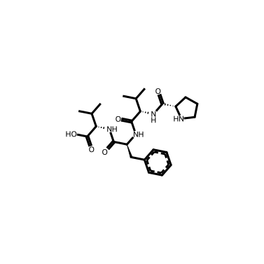 CC(C)[C@H](NC(=O)[C@H](Cc1ccccc1)NC(=O)[C@@H](NC(=O)[C@@H]1CCCN1)C(C)C)C(=O)O